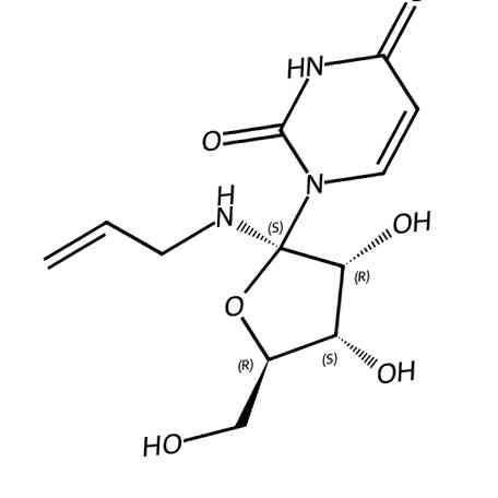 C=CCN[C@@]1(n2ccc(=O)[nH]c2=O)O[C@H](CO)[C@@H](O)[C@H]1O